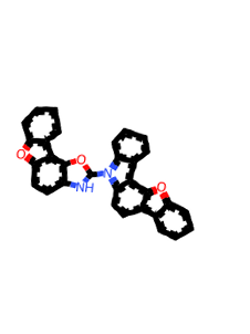 c1ccc2c(c1)oc1c2ccc2c1c1ccccc1n2C1Nc2ccc3oc4ccccc4c3c2O1